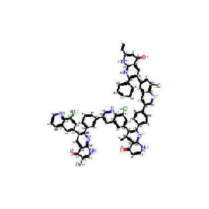 C=Cc1cc(=O)c2cc(-c3cc(Cl)c4ncc(-c5ccc(-c6nc7[nH]ccc(=O)c7c(C)c6-c6cc(Cl)c7ncc(-c8cccc(-c9nc%10[nH]cc(C(C)C)c(=O)c%10cc9-c9cc(Cl)c%10ncccc%10c9)c8)cc7c6)cc5)cc4c3)c(-c3ccccc3)nc2[nH]1